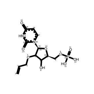 C=CCOC1C(O)[C@H](COP(=O)(O)O)O[C@@H]1n1ccc(=O)[nH]c1=O